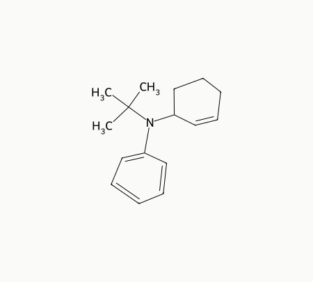 CC(C)(C)N(c1ccccc1)C1C=CCCC1